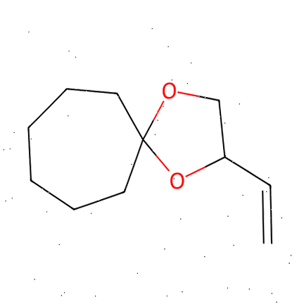 C=CC1COC2(CCCCCC2)O1